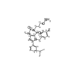 CC(C)c1cccc(-c2nc3c(c(=O)n(CCCON)c(=O)n3C)n2Cc2ccc(F)cc2)c1